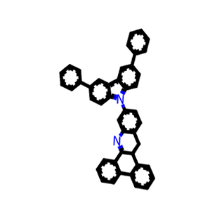 c1ccc(-c2ccc3c(c2)c2cc(-c4ccccc4)ccc2n3-c2ccc3c(c2)N=C2c4ccccc4-c4ccccc4C2C3)cc1